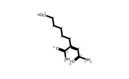 CCCCCCCCCCCCCC(=CC(N)=O)C(N)=O